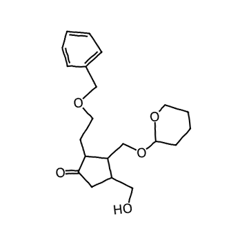 O=C1CC(CO)C(COC2CCCCO2)C1CCOCc1ccccc1